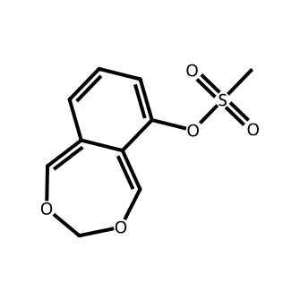 CS(=O)(=O)Oc1cccc2c1=COCOC=2